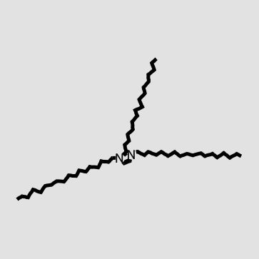 CCCCCCCCCCCCCCCCCCn1cc[n+](CCCCCCCCCCCCCCCCCC)c1CCCCCCCCCCCCCCCC